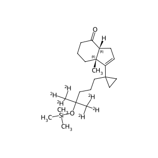 [2H]C([2H])([2H])C(CCCC1(C2=CC[C@H]3C(=O)CCC[C@@]23C)CC1)(O[Si](C)(C)C)C([2H])([2H])[2H]